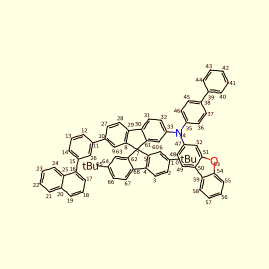 CC(C)(C)c1ccc2c(c1)C1(c3cc(-c4cccc(-c5cccc6ccccc56)c4)ccc3-c3ccc(N(c4ccc(-c5ccccc5)cc4)c4ccc5c(c4)oc4ccccc45)cc31)c1cc(C(C)(C)C)ccc1-2